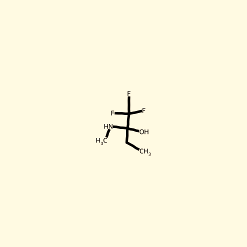 CCC(O)(NC)C(F)(F)F